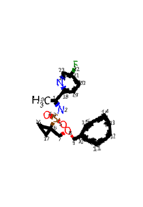 C/C(=N\S(=O)(=O)C1(COCc2ccccc2)CC1)c1ccc(F)cn1